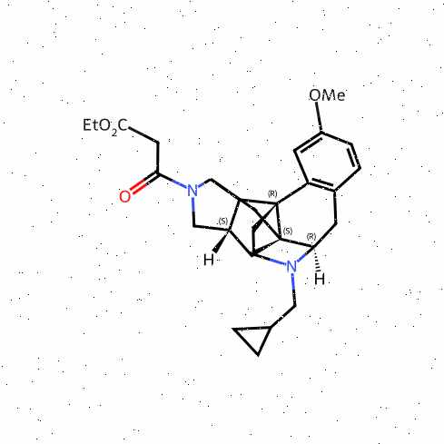 CCOC(=O)CC(=O)N1C[C@H]2C[C@@]34CCC1C2[C@@]31CCN(CC2CC2)[C@@H]4Cc2ccc(OC)cc21